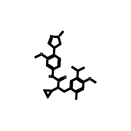 COc1cc(C)c(CN(C(=O)Nc2ccc(C3C=NN(C)C3)c(OC)c2)C2CC2)cc1C(C)C